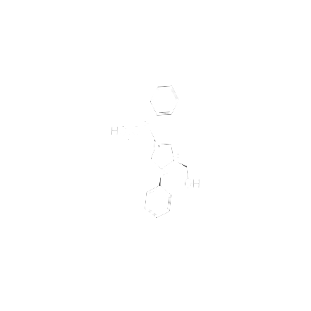 O=C(O)[C@H](c1ccccc1)N1C[C@@H](CO)[C@@H](c2ccccc2)C1